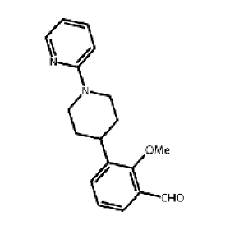 COc1c(C=O)cccc1C1CCN(c2ccccn2)CC1